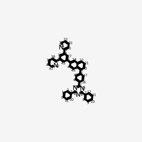 c1ccc(-c2nc(-c3ccccc3)nc(-c3ccc(-c4cccc5cc(-c6cc(-c7ccccn7)cc(-c7ccccn7)c6)ccc45)cc3)n2)cc1